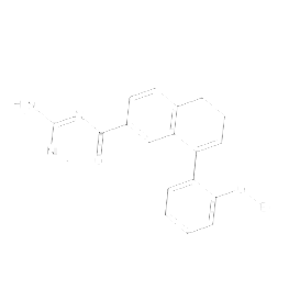 CCOc1ccccc1C1=CCCc2ccc(C(=O)N=C(N)N)cc21